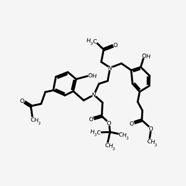 COC(=O)CCc1ccc(O)c(CN(CCN(CC(=O)OC(C)(C)C)Cc2cc(CCC(C)=O)ccc2O)CC(C)=O)c1